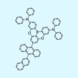 c1ccc(N(c2ccccc2)c2ccc3c(c2)Oc2cc(-c4c5ccccc5c(-c5ccc6ccccc6c5)c5ccccc45)cc4c2B3c2ccc(N(c3ccccc3)c3ccccc3)cc2O4)cc1